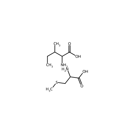 CCC(C)C(N)C(=O)O.CSCC(N)C(=O)O